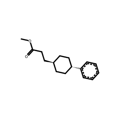 COC(=O)CC[C@H]1CC[C@H](c2ccccc2)CC1